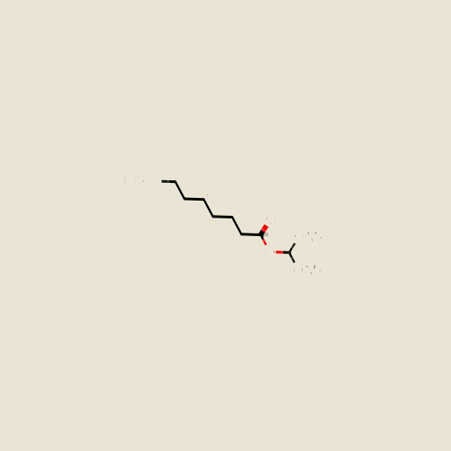 COC(OC)OC(=O)CCCCCCC(=O)O